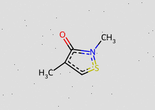 Cc1csn(C)c1=O